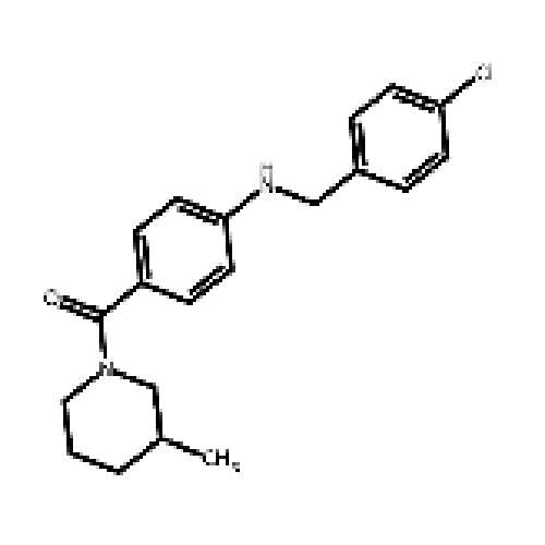 CC1CCCN(C(=O)c2ccc(NCc3ccc(Cl)cc3)cc2)C1